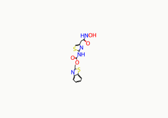 O=C(Cc1csc(NC(=O)OCc2nc3ccccc3s2)n1)NO